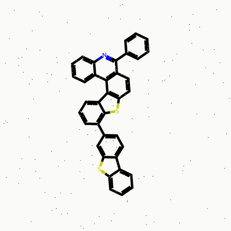 c1ccc(-c2nc3ccccc3c3c2ccc2sc4c(-c5ccc6c(c5)sc5ccccc56)cccc4c23)cc1